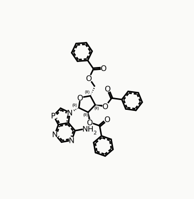 Nc1ncnc2pcn([C@@H]3O[C@H](COC(=O)c4ccccc4)[C@@H](OC(=O)c4ccccc4)[C@H]3OC(=O)c3ccccc3)c12